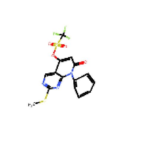 CSc1ncc2c(OS(=O)(=O)C(F)(F)F)cc(=O)n(-c3ccccc3)c2n1